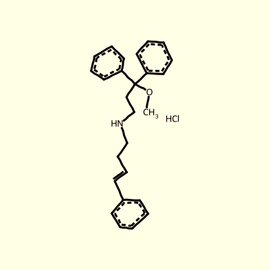 COC(CCNCC/C=C/c1ccccc1)(c1ccccc1)c1ccccc1.Cl